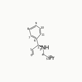 C=C[C@H](NCC(C)C)c1ccccc1